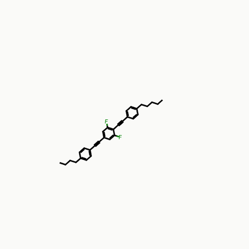 CCCCCc1ccc(C#Cc2c(F)cc(C#Cc3ccc(CCCC)cc3)cc2F)cc1